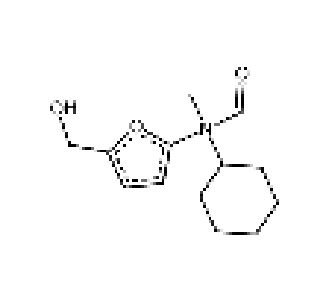 C[N+](C=O)(c1ccc(CO)o1)C1CCCCC1